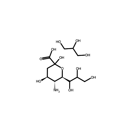 N[C@@H]1[C@@H](O)CC(O)(C(=O)O)O[C@H]1C(O)C(O)CO.OCC(O)CO